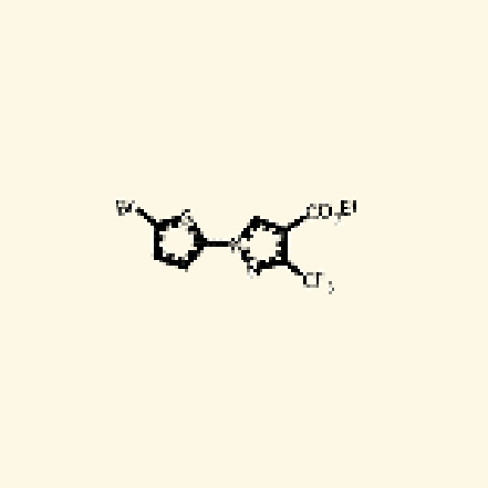 CCOC(=O)c1cn(-c2ccc(Br)s2)nc1C(F)(F)F